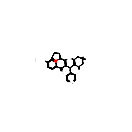 CC1(C)CC(=O)C2=C(C1)NC(C1CCCC1)=C(C(=O)c1ccc(C(F)(F)F)cc1)C2c1ccncc1